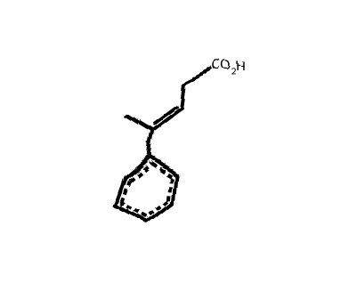 C/C(=C\CC(=O)O)c1ccccc1